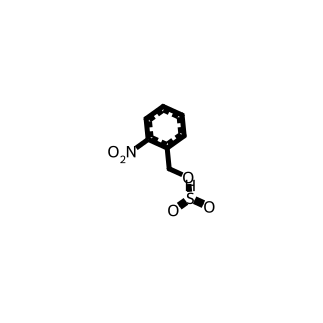 O=[N+]([O-])c1ccccc1CO[SH](=O)=O